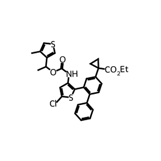 CCOC(=O)C1(c2ccc(-c3ccccc3)c(-c3sc(Cl)cc3NC(=O)OC(C)c3cscc3C)c2)CC1